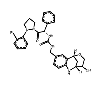 O=C(NCc1ccc2c(c1)[C@H]1C[C@@H](N2)[C@H](O)CO1)N[C@H](C(=O)N1CCCN1c1ccccc1Br)c1ccccc1